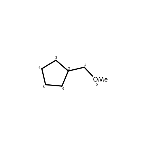 COCC1CCCC1